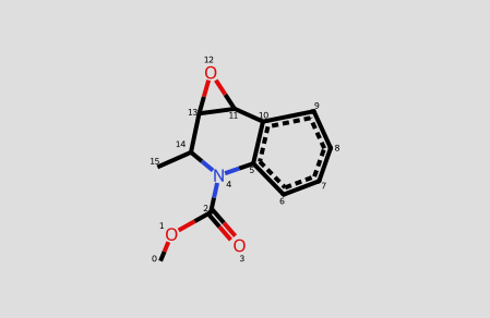 COC(=O)N1c2ccccc2C2OC2C1C